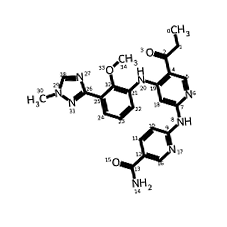 CCC(=O)c1cnc(Nc2ccc(C(N)=O)cn2)cc1Nc1cccc(-c2ncn(C)n2)c1OC